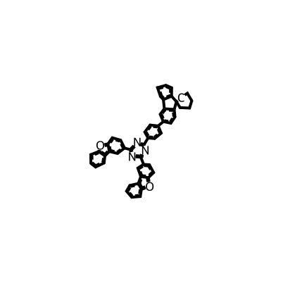 c1ccc2c(c1)-c1cc(-c3ccc(-c4nc(-c5ccc6oc7ccccc7c6c5)nc(-c5ccc6oc7ccccc7c6c5)n4)cc3)ccc1C21CCCCC1